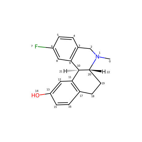 CN1Cc2ccc(F)cc2[C@@H]2c3cc(O)ccc3CC[C@H]21